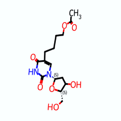 CC(=O)OCCCCc1cn([C@@H]2CC(O)[C@H](CO)O2)c(=O)[nH]c1=O